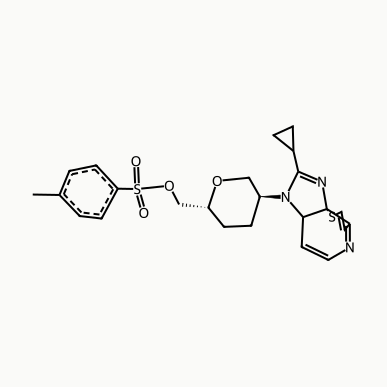 Cc1ccc(S(=O)(=O)OC[C@H]2CC[C@H](N3C(C4CC4)=NC45SC=CC4=NC=CC35)CO2)cc1